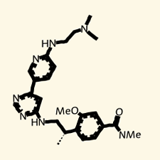 CNC(=O)c1ccc([C@H](C)CNc2cc(-c3ccc(NCCN(C)C)nc3)ncn2)c(OC)c1